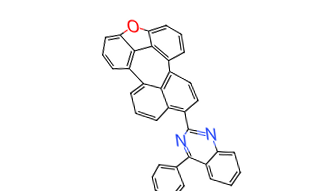 c1ccc(-c2nc(-c3ccc4c5c(cccc35)-c3cccc5oc6cccc-4c6c35)nc3ccccc23)cc1